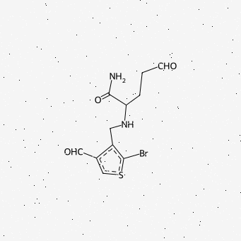 NC(=O)C(CCC=O)NCc1c(C=O)csc1Br